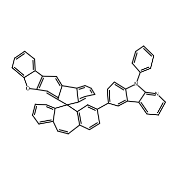 C1=Cc2ccc(-c3ccc4c(c3)c3cccnc3n4-c3ccccc3)cc2C2(c3ccccc31)c1ccccc1-c1cc3c(cc12)oc1ccccc13